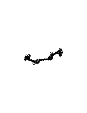 COc1cc(C=CC=CC(=O)N2CCCN(CCCCCCCCN3CCCN(C(=O)C=CC=Cc4cc(OC)c(OC)c(OC)c4)CC3)CC2)cc(OC)c1OC